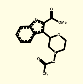 COC(=O)c1sc2ccccc2c1C1CN(OC(=O)C(F)(F)F)CCO1